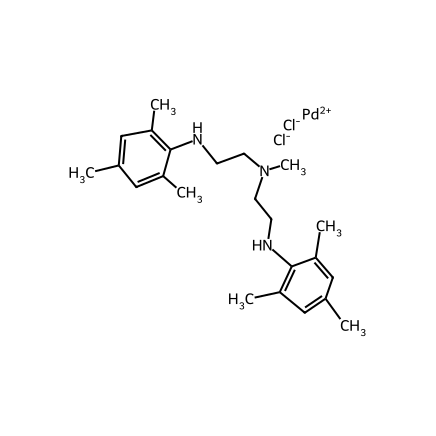 Cc1cc(C)c(NCCN(C)CCNc2c(C)cc(C)cc2C)c(C)c1.[Cl-].[Cl-].[Pd+2]